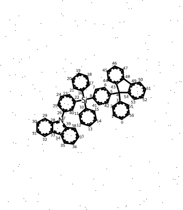 c1ccc(C2(c3ccc([Si](c4ccccc4)(c4ccccc4)c4cccc(-n5c6ccccc6c6ccccc65)c4)cc3)c3ccccc3-c3ccccc32)cc1